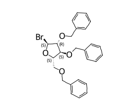 Br[C@@H]1O[C@@H](COCc2ccccc2)[C@H](OCc2ccccc2)[C@H]1OCc1ccccc1